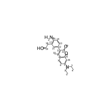 CCN(CC)c1ccc2c(C)c(-c3ccc(N)c(CCO)c3)c(=O)oc2c1